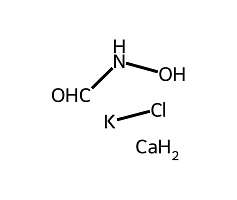 O=CNO.[CaH2].[Cl][K]